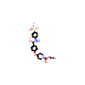 CC(C)(C)OC(=O)N1CCC(Oc2ccc(C(=O)Nc3ccc(S(C)(=O)=O)cc3F)cc2)CC1